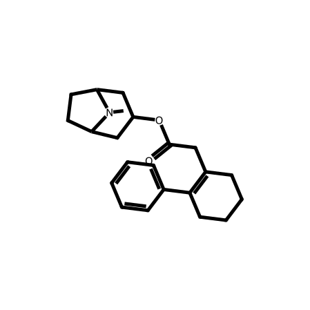 CN1C2CCC1CC(OC(=O)CC1=C(c3ccccc3)CCCC1)C2